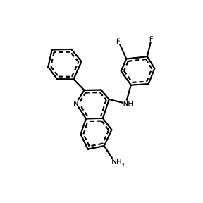 Nc1ccc2nc(-c3ccccc3)cc(Nc3ccc(F)c(F)c3)c2c1